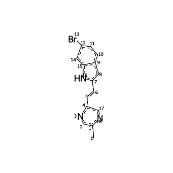 Cc1cnc(C=Cc2cc3ccc(Br)cc3[nH]2)cn1